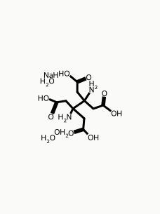 NC(CC(=O)O)(CC(=O)O)C(N)(CC(=O)O)CC(=O)O.O.O.O.[NaH]